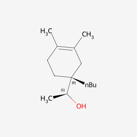 CCCC[C@@]1([C@H](C)O)CCC(C)=C(C)C1